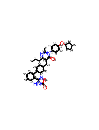 CCCc1nc(C)n(-c2ccc(OC3CCCC3)cc2)c(=O)c1Cc1ccc(-c2ccccc2-c2noc(=O)[nH]2)cc1